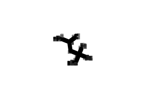 CCCCC(CC)(CC(Cl)CCC)C(C)=O